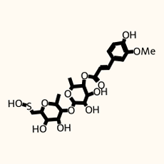 COc1cc(/C=C/C(=O)OC2C(C)OC(OC3C(C)OC(CSO)C(O)C3O)C(O)C2O)ccc1O